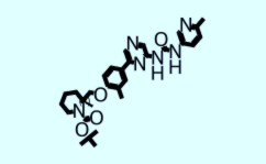 Cc1ccc(NC(=O)Nc2cncc(-c3ccc(OC[C@@]4(C)CCCCN4C(=O)OC(C)(C)C)c(C)c3)n2)cn1